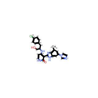 Cc1cc(-n2ccnc2)cc2[nH]c(-c3c(NC(CO)Cc4ccc(Cl)cc4)cc[nH]c3=O)nc12